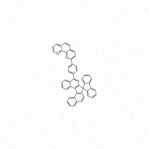 c1ccc2c(c1)-c1ccccc1C21c2ccc3ccccc3c2-c2c1cc(-c1ccc(-c3ccc4ccc5cccnc5c4n3)cc1)c1ccccc21